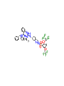 CN(Cc1ccccc1)c1nc(NC[C@H]2CC[C@H](CNS(=O)(=O)c3cc(OCC(F)(F)F)ccc3OCC(F)(F)F)CC2)nc2ccccc12